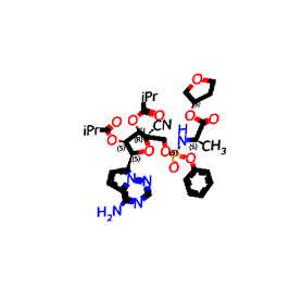 CC(C)C(=O)O[C@H]1[C@H](c2ccc3c(N)ncnn23)O[C@](C#N)(CO[P@@](=O)(N[C@@H](C)C(=O)O[C@H]2CCOC2)Oc2ccccc2)[C@H]1OC(=O)C(C)C